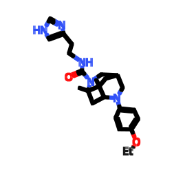 CCOc1ccc(N2CC3CN(C(=O)NCCc4c[nH]cn4)C4(C)CC2C4(C)C3)cc1